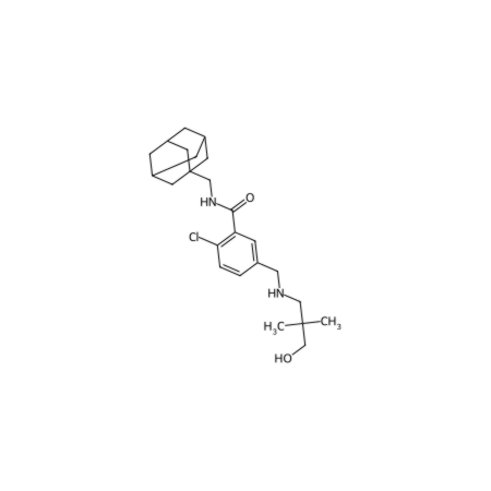 CC(C)(CO)CNCc1ccc(Cl)c(C(=O)NCC23CC4CC(CC(C4)C2)C3)c1